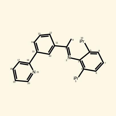 C/C(=N\c1c(C(C)C)cccc1C(C)C)c1cccc(-c2ccccn2)c1